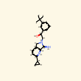 CC(C)(C)c1[c]ccc(C(=O)CN2Cc3ccc(C4CC4)nc3C2=N)c1